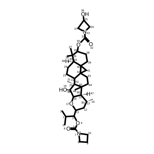 CC(C)C(OC(=O)N1CCC1)C1C[C@@H](C)[C@H]2C(O1)[C@H](O)[C@@]1(C)C3CC[C@H]4C(C)(C)C(OC(=O)N5CC(O)C5)CCC45CC35CCC21C